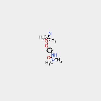 CN(C)C(=O)Nc1ccc(OCOC(C)(C)C#N)cc1